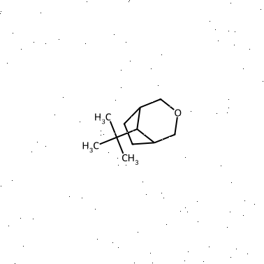 CC(C)(C)C1C2CCC1COC2